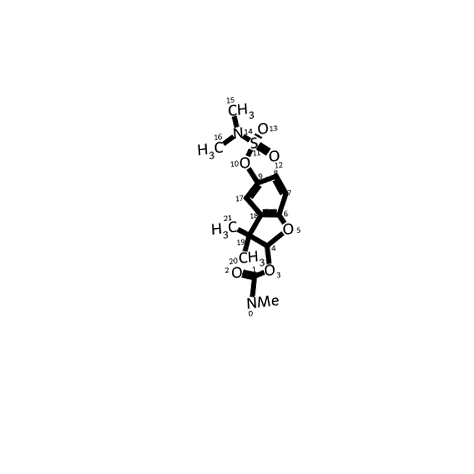 CNC(=O)OC1Oc2ccc(OS(=O)(=O)N(C)C)cc2C1(C)C